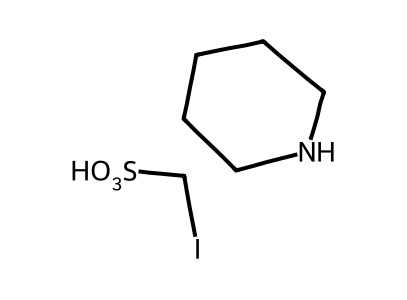 C1CCNCC1.O=S(=O)(O)CI